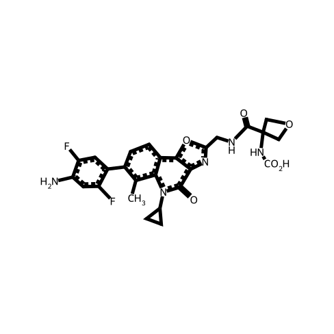 Cc1c(-c2cc(F)c(N)cc2F)ccc2c3oc(CNC(=O)C4(NC(=O)O)COC4)nc3c(=O)n(C3CC3)c12